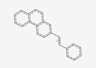 C(=C\c1ccc2c(ccc3ccccc32)c1)/c1ccccc1